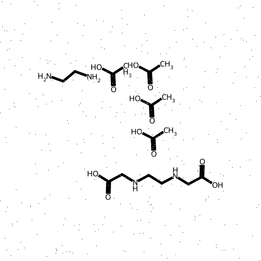 CC(=O)O.CC(=O)O.CC(=O)O.CC(=O)O.NCCN.O=C(O)CNCCNCC(=O)O